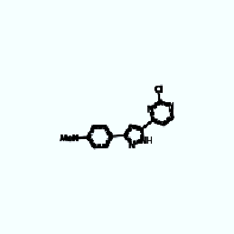 CNc1ccc(-c2cc(-c3ccnc(Cl)n3)[nH]n2)cc1